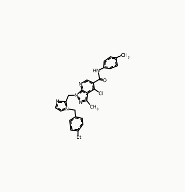 CCc1ccc(Cn2ccnc2Cn2nc(C)c3c(Cl)c(C(=O)Nc4ccc(C)cc4)cnc32)cc1